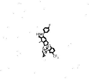 C[C@H]1C2=CNN(c3ccc(F)cc3)C2=CC2=C1[C@@H](CN(CC1CC1)S(=O)(=O)c1cc(C(F)(F)F)ccc1Cl)CC2